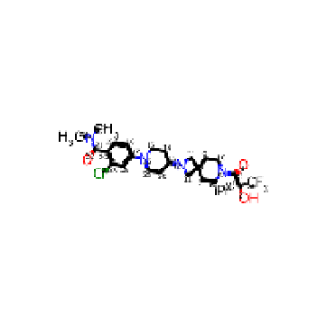 CC(C)[C@](O)(C(=O)N1CCC2(CC1)CN(C1CCN(c3ccc(C(=O)N(C)C)c(Cl)c3)CC1)C2)C(F)(F)F